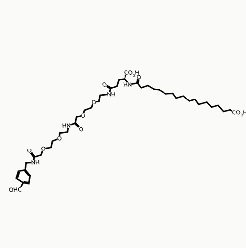 O=Cc1ccc(CNC(=O)COCCOCCNC(=O)COCCOCCNC(=O)CC[C@H](NC(=O)CCCCCCCCCCCCCCCCC(=O)O)C(=O)O)cc1